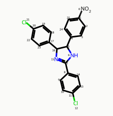 O=[N+]([O-])c1ccc(C2NC(c3ccc(Cl)cc3)=NC2c2ccc(Cl)cc2)cc1